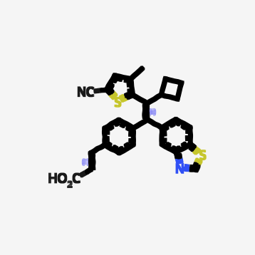 Cc1cc(C#N)sc1/C(=C(\c1ccc(/C=C/C(=O)O)cc1)c1ccc2scnc2c1)C1CCC1